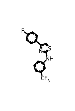 Fc1ccc(-c2csc(Nc3cccc(C(F)(F)F)c3)n2)cc1